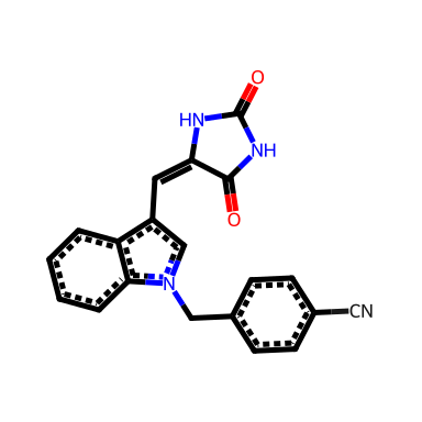 N#Cc1ccc(Cn2cc(C=C3NC(=O)NC3=O)c3ccccc32)cc1